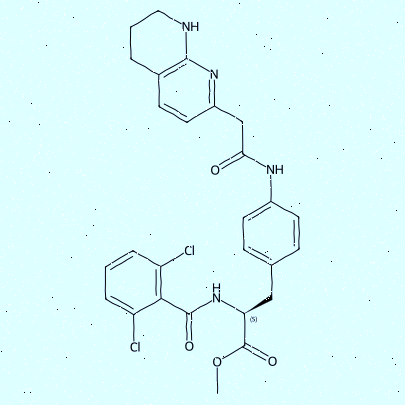 COC(=O)[C@H](Cc1ccc(NC(=O)Cc2ccc3c(n2)NCCC3)cc1)NC(=O)c1c(Cl)cccc1Cl